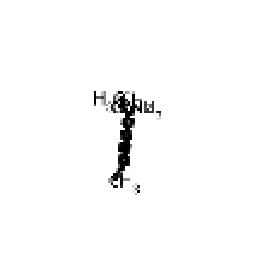 C=C(C)C(=O)OCC(CCN)C1CCC(C2CCC(c3ccc(-c4ccc(CCCCC)cc4)cc3)CC2)CC1